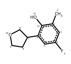 Cc1cc(F)cc(C2CCOC2)c1O